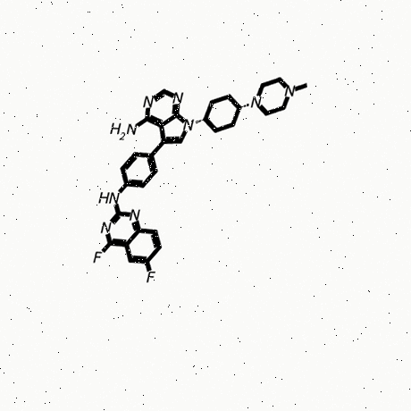 CN1CCN([C@H]2CC[C@@H](n3cc(-c4ccc(Nc5nc(F)c6cc(F)ccc6n5)cc4)c4c(N)ncnc43)CC2)CC1